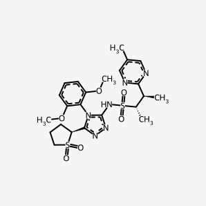 COc1cccc(OC)c1-n1c(NS(=O)(=O)[C@@H](C)[C@H](C)c2ncc(C)cn2)nnc1[C@@H]1CCCS1(=O)=O